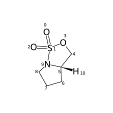 O=S1(=O)OC[C@@H]2CCCN21